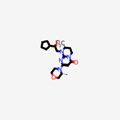 C[C@@H]1COCCN1c1cc(=O)n2c(n1)N(CC(=O)C1CCCC1)[C@H](C(F)(F)F)CC2